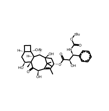 CC(=O)O[C@@]12CC[C@@H]1C[C@H](O)[C@@]1(C)C(=O)[C@H](O)C3=C(C)[C@@H](OC(=O)[C@H](O)[C@@H](NC(=O)OC(C)(C)C)c4ccccc4)C[C@@](O)([C@@H](C)[C@H]21)C3(C)C